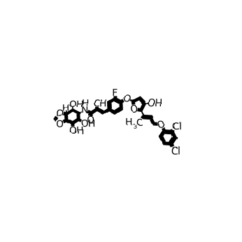 C/C(=C\c1ccc(O[C@H]2C[C@H](O)[C@@H](/C(C)=C/COc3ccc(Cl)cc3Cl)O2)c(F)c1)C(=O)N[C@@H]1C(O)C(O)C2OCO[C@H]2[C@@H]1O